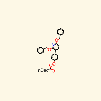 CCCCCCCCCCC(=O)OOc1ccc(-c2ccc(OCc3ccccc3)nc2OCc2ccccc2)cc1